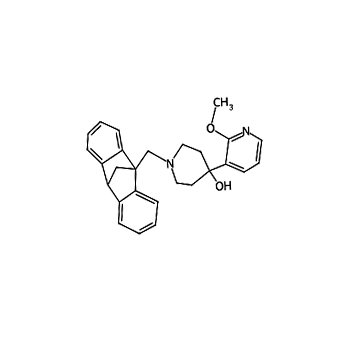 COc1ncccc1C1(O)CCN(CC23CC(c4ccccc42)c2ccccc23)CC1